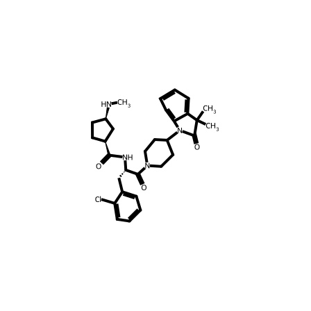 CN[C@@H]1CC[C@H](C(=O)N[C@@H](Cc2ccccc2Cl)C(=O)N2CCC(N3C(=O)C(C)(C)c4ccccc43)CC2)C1